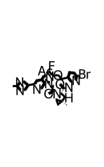 CC(=O)c1nn(CC(=O)N2C3C[C@]3(C)C[C@H]2C(=O)Nc2nc(Br)ccc2COCCF)c2cnc(-c3cnc(C)nc3)cc12